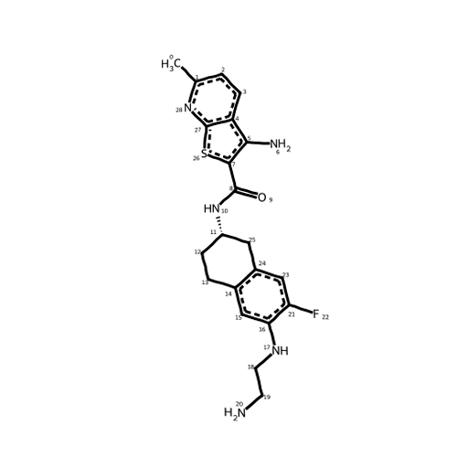 Cc1ccc2c(N)c(C(=O)N[C@H]3CCc4cc(NCCN)c(F)cc4C3)sc2n1